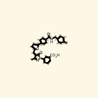 CC1=NN(c2cccc(C(=O)O)c2)C(=O)/C1=C\c1ccc(-c2ccc(C(=O)NCc3ccc(F)cc3)cc2)o1